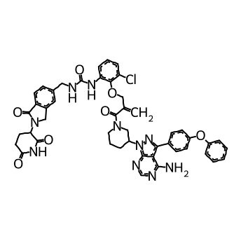 C=C(COc1c(Cl)cccc1NC(=O)NCc1ccc2c(c1)CN(C1CCC(=O)NC1=O)C2=O)C(=O)N1CCCC(n2nc(-c3ccc(Oc4ccccc4)cc3)c3c(N)ncnc32)C1